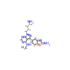 CNc1ncnc2c1c(-c1ccc3oc(N)nc3c1)nn2CCCCN